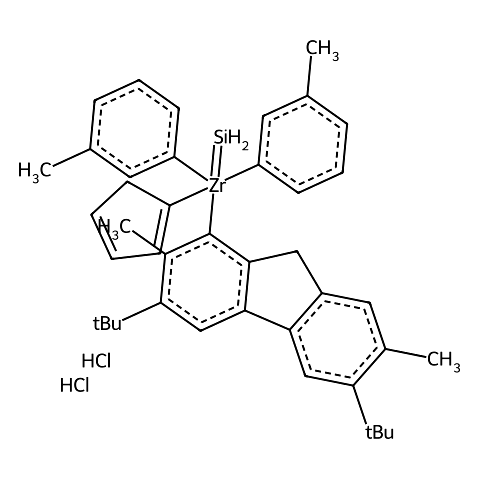 Cc1ccc[c]([Zr](=[SiH2])([C]2=CC=CC2)([c]2cccc(C)c2)[c]2c(C)c(C(C)(C)C)cc3c2Cc2cc(C)c(C(C)(C)C)cc2-3)c1.Cl.Cl